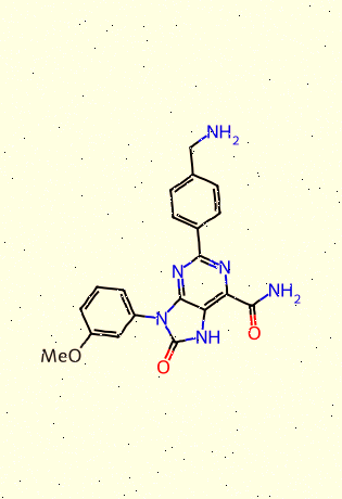 COc1cccc(-n2c(=O)[nH]c3c(C(N)=O)nc(-c4ccc(CN)cc4)nc32)c1